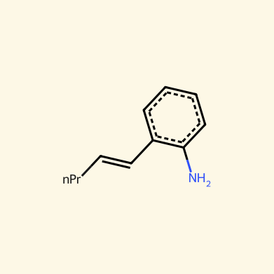 CCC/C=C/c1ccccc1N